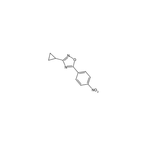 O=[N+]([O-])c1ccc(-c2nc(C3CC3)no2)cc1